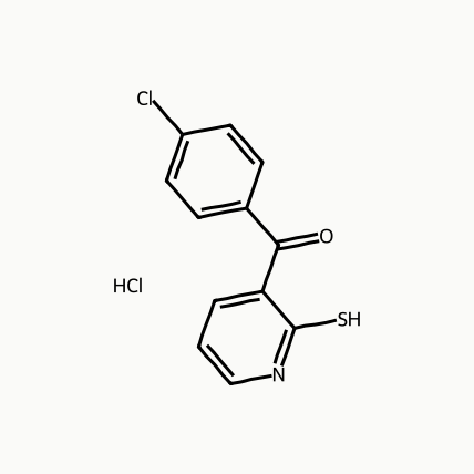 Cl.O=C(c1ccc(Cl)cc1)c1cccnc1S